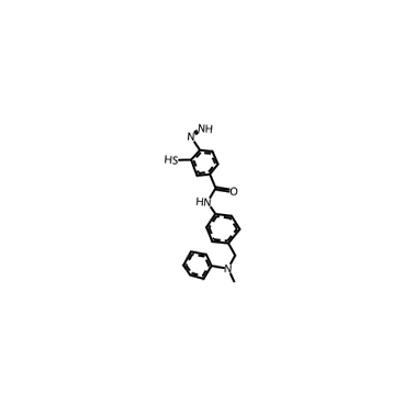 CN(Cc1ccc(NC(=O)c2ccc(N=N)c(S)c2)cc1)c1ccccc1